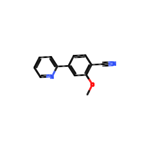 COc1cc(-c2ccccn2)ccc1C#N